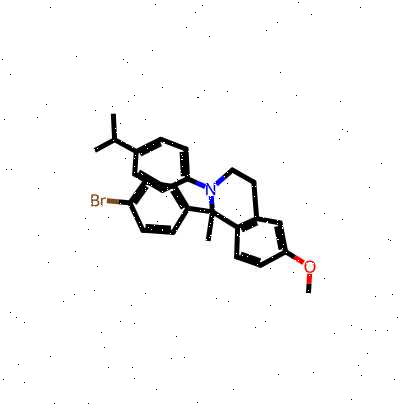 COc1ccc2c(c1)CCN(c1ccc(C(C)C)cc1)C2(C)c1ccc(Br)cc1